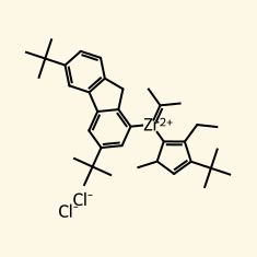 CCC1=[C]([Zr+2](=[C](C)C)[c]2cc(C(C)(C)C)cc3c2Cc2ccc(C(C)(C)C)cc2-3)C(C)C=C1C(C)(C)C.[Cl-].[Cl-]